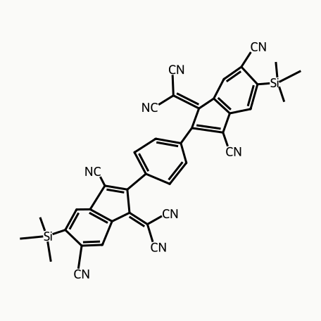 C[Si](C)(C)c1cc2c(cc1C#N)C(=C(C#N)C#N)C(c1ccc(C3=C(C#N)c4cc([Si](C)(C)C)c(C#N)cc4C3=C(C#N)C#N)cc1)=C2C#N